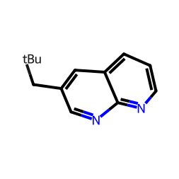 CC(C)(C)Cc1cnc2ncccc2c1